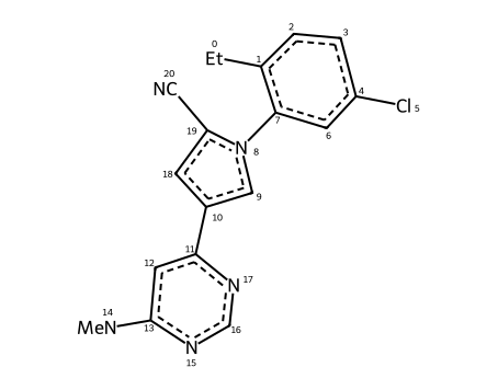 CCc1ccc(Cl)cc1-n1cc(-c2cc(NC)ncn2)cc1C#N